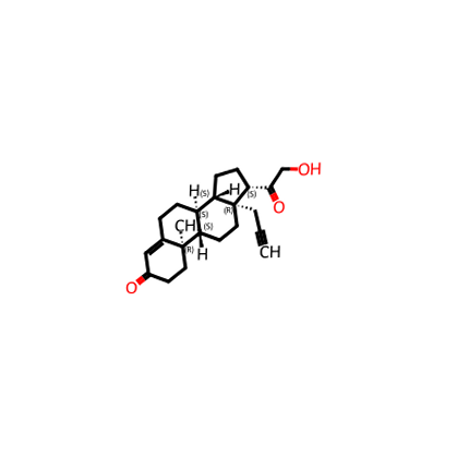 C#CC[C@]12CC[C@H]3[C@@H](CCC4=CC(=O)CC[C@@]43C)[C@@H]1CC[C@@H]2C(=O)CO